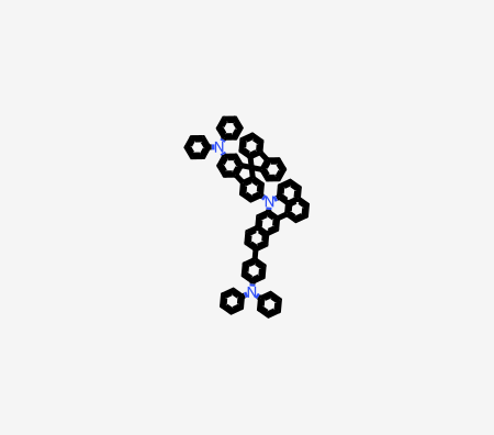 c1ccc(N(c2ccccc2)c2ccc(-c3ccc4cc5c(cc4c3)-c3cccc4cccc(c34)N5c3ccc4c(c3)C3(c5ccccc5-c5ccccc53)c3cc(N(c5ccccc5)c5ccccc5)ccc3-4)cc2)cc1